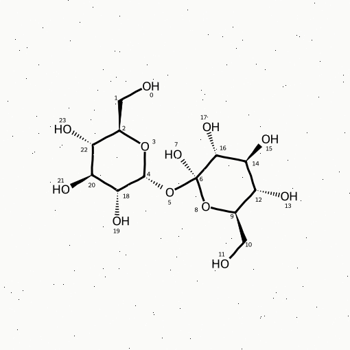 OC[C@H]1O[C@H](O[C@]2(O)O[C@H](CO)[C@@H](O)[C@H](O)[C@H]2O)[C@H](O)[C@@H](O)[C@@H]1O